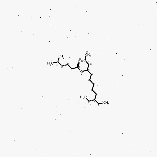 CCC(CC)CCCCCC(COC)OC(=O)CCCN(C)C